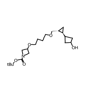 CC(C)(C)OC(=O)N1CC(OCCCCOC[C@@H]2C[C@H]2C2CC(O)C2)C1